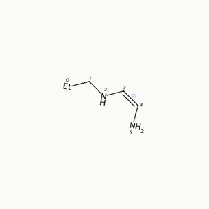 CCCN/C=C\N